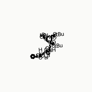 CC(C)(C)OC(=O)CN1CCN(CC(=O)OC(C)(C)C)CCN([C@H](CCC(=O)N[C@@H](CS(=O)(=O)O)C(=O)NCCNC(=O)OCc2ccccc2)C(=O)OC(C)(C)C)CC1